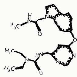 CCN(CC)C(=O)Nc1cc(Oc2ccc3ccn(C(=O)NC)c3c2)ncn1